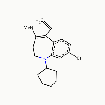 C=CC1=C(NC)CCN(C2CCCCC2)c2cc(CC)ccc21